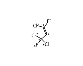 FC(Cl)=CC(F)(Cl)Cl